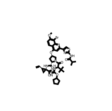 C=C[C@@H]1C[C@]1(NC(=O)[C@@H]1C[C@H](Oc2cc(-c3csc(NC(=O)C(C)C)n3)nc3c(Br)c(OC)ccc23)CN1C(=O)C(NC(=O)OC1CCCC1)C(C)(C)C)C(=O)O